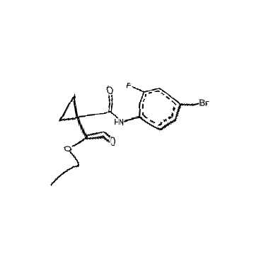 CCOC(=O)C1(C(=O)Nc2ccc(Br)cc2F)CC1